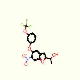 CC(O)c1cc2cc(Oc3cccc(OC(F)(F)F)c3)c([N+](=O)[O-])cc2o1